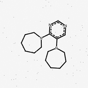 [c]1ncc(N2CCCCCC2)c(N2CCCCCC2)n1